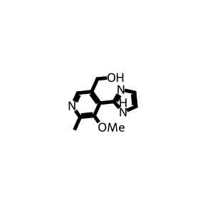 COc1c(C)ncc(CO)c1-c1ncc[nH]1